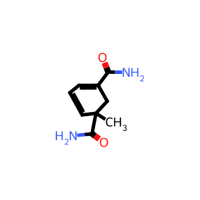 CC1(C(N)=O)C=CC=C(C(N)=O)C1